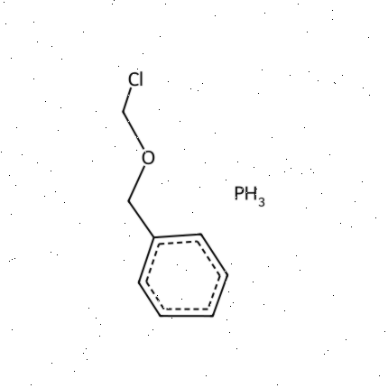 ClCOCc1ccccc1.P